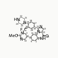 COc1ncc(-c2ccc3[nH]c(=O)c4cnc(-c5ccc(N6CCNCC6)c(C(F)(F)F)c5)n4c3c2)cn1